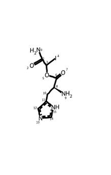 NC(=O)C(I)OC(=O)[C@@H](N)Cc1cnc[nH]1